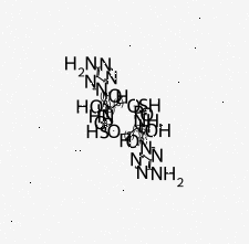 Nc1ncnc2c1ncn2[C@@H]1O[C@@H]2COP(=O)(S)N[C@H]3[C@@H](O)[C@H](n4cnc5c(N)ncnc54)O[C@@H]3COP(=O)(S)N[C@H]2[C@H]1O